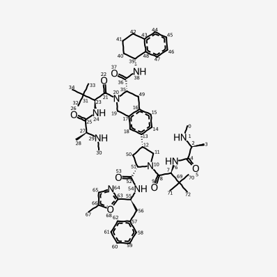 CN[C@@H](C)C(=O)N[C@H](C(=O)N1C[C@@H](c2ccc3c(c2)CN(C(=O)[C@@H](NC(=O)[C@H](C)NC)C(C)(C)C)[C@H](C(=O)N[C@@H]2CCCc4ccccc42)C3)C[C@H]1C(=O)N[C@@H](Cc1ccccc1)c1ncc(C)o1)C(C)(C)C